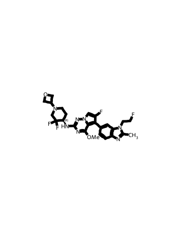 COc1nc(N[C@@H]2CCN(C3COC3)CC2(F)F)nn2cc(F)c(-c3ccc4nc(C)n(CCF)c4c3)c12